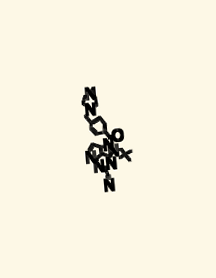 CN1CCN(Cc2ccc(C(=O)N3c4ccnc5nc(C#N)nc(c45)N3CC(C)(C)C)cc2)CC1